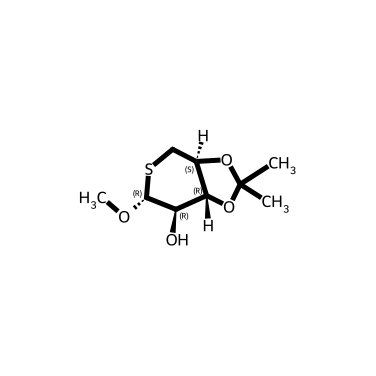 CO[C@@H]1SC[C@H]2OC(C)(C)O[C@@H]2[C@H]1O